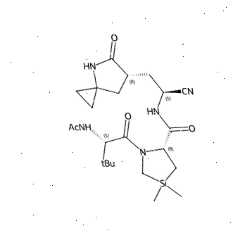 CC(=O)N[C@H](C(=O)N1C[Si](C)(C)C[C@H]1C(=O)N[C@H](C#N)C[C@@H]1CC2(CC2)NC1=O)C(C)(C)C